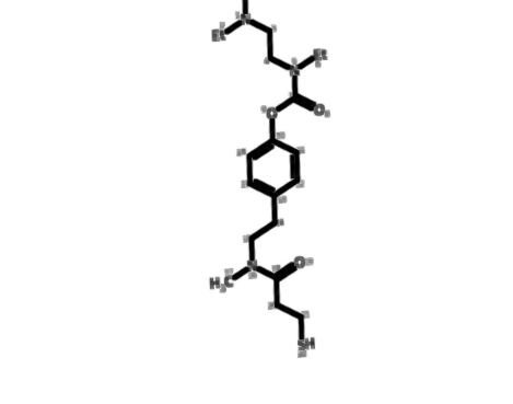 CCN(CC)CCN(CC)C(=O)Oc1ccc(CCN(C)C(=O)CCS)cc1